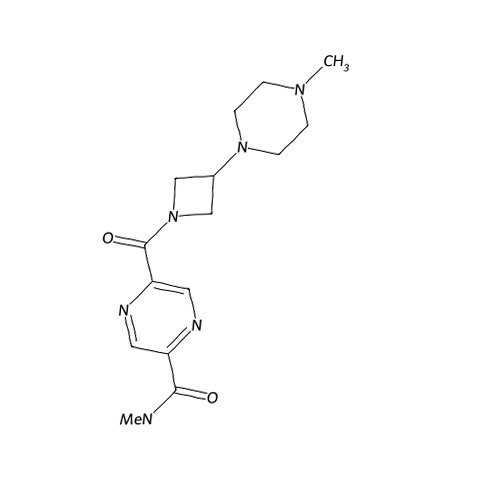 CNC(=O)c1cnc(C(=O)N2CC(N3CCN(C)CC3)C2)cn1